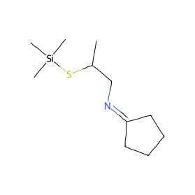 CC(CN=C1CCCC1)S[Si](C)(C)C